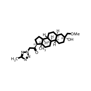 COC[C@@]1(O)CC[C@H]2[C@@H](CC[C@@H]3[C@@H]2CC[C@]2(C)[C@@H](C(=O)Cn4nnc(C)n4)CC[C@@H]32)C1